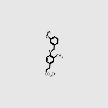 CCOC(=O)CCc1ccc(OCc2cccc(OC(C)C)c2)c(C)c1